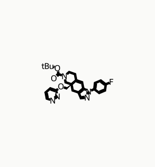 CC(C)(C)OC(=O)N1CCC2=Cc3c(cnn3-c3ccc(F)cc3)C[C@]2(COc2cccnn2)C1